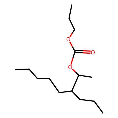 CCCCCC(CCC)C(C)OC(=O)OCCC